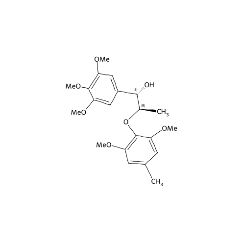 COc1cc([C@H](O)[C@@H](C)Oc2c(OC)cc(C)cc2OC)cc(OC)c1OC